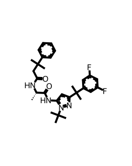 C[C@H](NC(=O)CC(C)(C)c1ccccc1)C(=O)Nc1cc(C(C)(C)c2cc(F)cc(F)c2)nn1C(C)(C)C